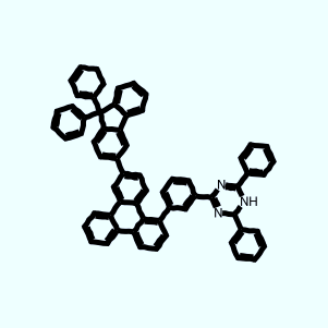 C1=CCCC(C2(c3ccccc3)c3ccccc3-c3cc(-c4ccc5c(c4)c4ccccc4c4cccc(-c6cccc(C7=NC(c8ccccc8)NC(c8ccccc8)=N7)c6)c45)ccc32)=C1